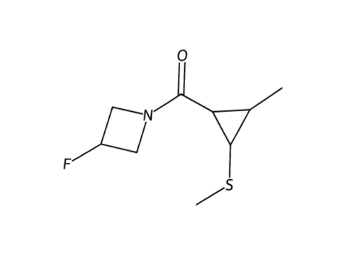 CSC1C(C)C1C(=O)N1CC(F)C1